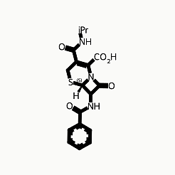 CC(C)NC(=O)C1=C(C(=O)O)N2C(=O)C(NC(=O)c3ccccc3)[C@@H]2SC1